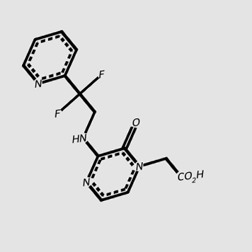 O=C(O)Cn1ccnc(NCC(F)(F)c2ccccn2)c1=O